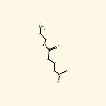 CN(C)CCCC(=S)OCCN